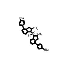 CCS(CC)(C1c2cccc(-c3ccc(C(C)(C)C)cc3)c2CC1C)C1c2cccc(-c3ccc(C(C)(C)C)cc3)c2CC1C